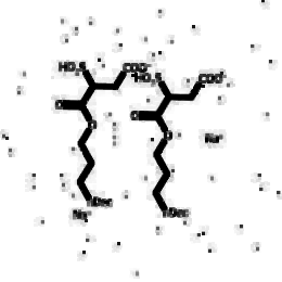 CCCCCCCCCCCCCOC(=O)C(CC(=O)[O-])S(=O)(=O)O.CCCCCCCCCCCCCOC(=O)C(CC(=O)[O-])S(=O)(=O)O.[Na+].[Na+]